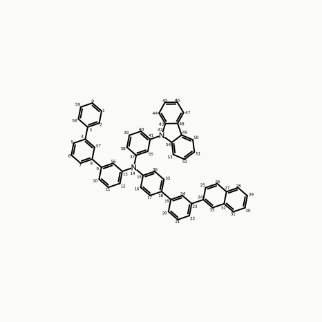 c1ccc(-c2cccc(-c3cccc(N(c4ccc(-c5cccc(-c6ccc7ccccc7c6)c5)cc4)c4cccc(-n5c6ccccc6c6ccccc65)c4)c3)c2)cc1